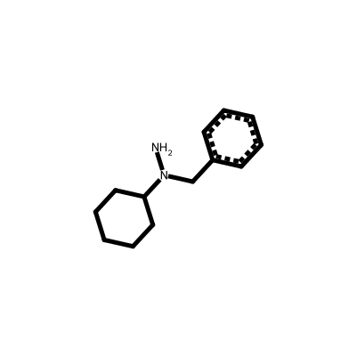 NN(Cc1ccccc1)C1CCCCC1